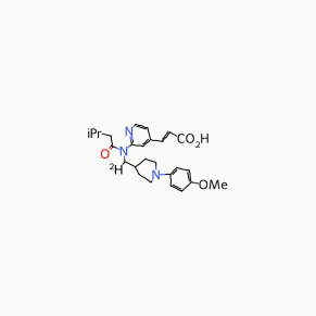 [2H]C(C1CCN(c2ccc(OC)cc2)CC1)N(C(=O)CC(C)C)c1cc(C=CC(=O)O)ccn1